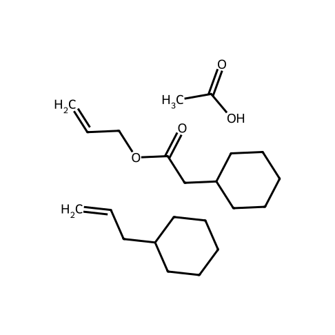 C=CCC1CCCCC1.C=CCOC(=O)CC1CCCCC1.CC(=O)O